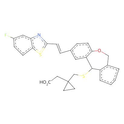 O=C(O)CC1(CSC2c3ccccc3COc3ccc(/C=C/c4nc5cc(F)ccc5s4)cc32)CC1